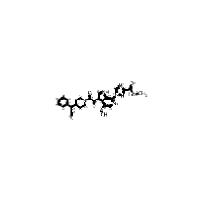 CNC(=O)c1ncn(-c2ncc(OC)c3c(C(=O)C(=O)N4CCC(=C(C#N)c5ccccc5)CC4)c[nH]c23)n1